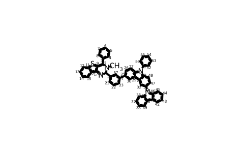 CN1C(c2ccccc2)=c2sc3ccccc3c2=NC1c1cccc(-c2ccc3c(c2)c2cc(-n4c5ccccc5c5ccccc54)ccc2n3-c2ccccc2)c1